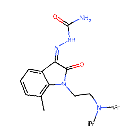 Cc1cccc2c1N(CCN(C(C)C)C(C)C)C(=O)C2=NNC(N)=O